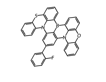 Fc1ccccc1-c1cc2c3c(c1)N1c4ccccc4Sc4cccc(c41)B3c1cccc3c1N2c1ccccc1O3